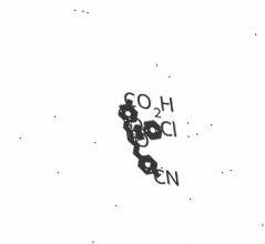 N#Cc1ccc(CCCN(Cc2ccc(C(=O)O)cc2)S(=O)(=O)c2ccc(Cl)cc2)cc1